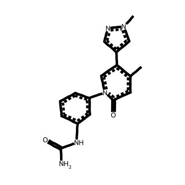 Cc1cc(=O)n(-c2cccc(NC(N)=O)c2)cc1-c1cnn(C)c1